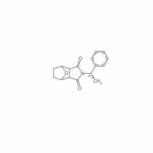 C[C@H](c1ccccc1)N1C(=O)C2C3CCC(O3)C2C1=O